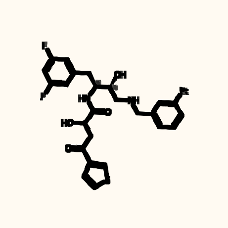 CCc1cccc(CNC[C@@H](O)[C@H](Cc2cc(F)cc(F)c2)NC(=O)C(O)CC(=O)c2ccsc2)c1